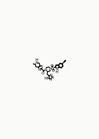 C#Cc1ccc2[nH]c(S(=O)(=O)N3CCN(C(=O)c4nc5c(s4)CNC(C)C5)C(Cc4nnn[nH]4)C3)cc2c1